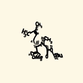 COC(=O)[C@H](CC=C(C)C)N(C)C(=O)OC(C)(C)C